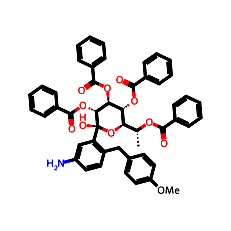 COc1ccc(Cc2ccc(N)cc2[C@@]2(O)O[C@H]([C@@H](C)OC(=O)c3ccccc3)[C@@H](OC(=O)c3ccccc3)[C@H](OC(=O)c3ccccc3)[C@H]2OC(=O)c2ccccc2)cc1